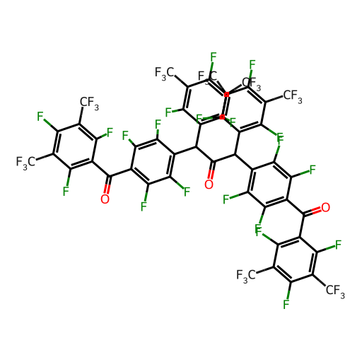 O=C(c1c(F)c(F)c(C(C(=O)C(c2c(F)c(F)c(C(=O)c3c(F)c(C(F)(F)F)c(F)c(C(F)(F)F)c3F)c(F)c2F)c2c(F)c(C(F)(F)F)c(F)c(C(F)(F)F)c2F)c2c(F)c(C(F)(F)F)c(F)c(C(F)(F)F)c2F)c(F)c1F)c1c(F)c(C(F)(F)F)c(F)c(C(F)(F)F)c1F